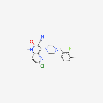 Cc1cccc(CN2CCN(c3c(C#N)c(=O)n(C)c4ccc(Cl)nc34)CC2)c1F